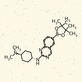 CN(C)[C@H]1CC[C@H](Nc2ncc3cc(B4OC(C)(C)C(C)(C)O4)ccc3n2)CC1